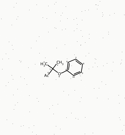 CC(=O)C(C)(C)Oc1ccccc1